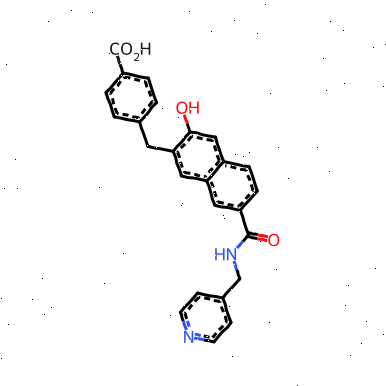 O=C(O)c1ccc(Cc2cc3cc(C(=O)NCc4ccncc4)ccc3cc2O)cc1